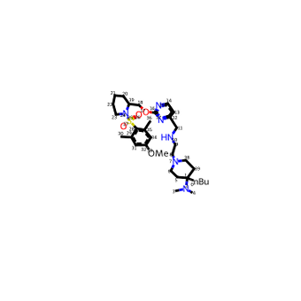 CCCCC1(N(C)C)CCN(CCNCc2ccnc(OCC3CCCCN3S(=O)(=O)c3c(C)cc(OC)cc3C)n2)CC1